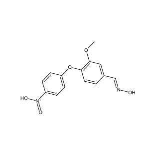 COc1cc(/C=N/O)ccc1Oc1ccc([N+](=O)O)cc1